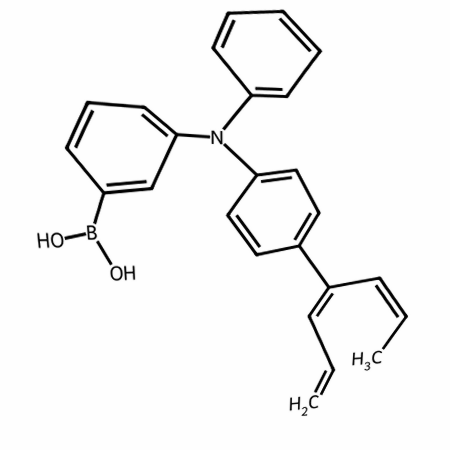 C=C/C=C(\C=C/C)c1ccc(N(c2ccccc2)c2cccc(B(O)O)c2)cc1